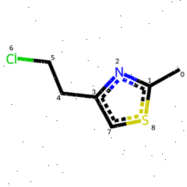 Cc1nc(CCCl)cs1